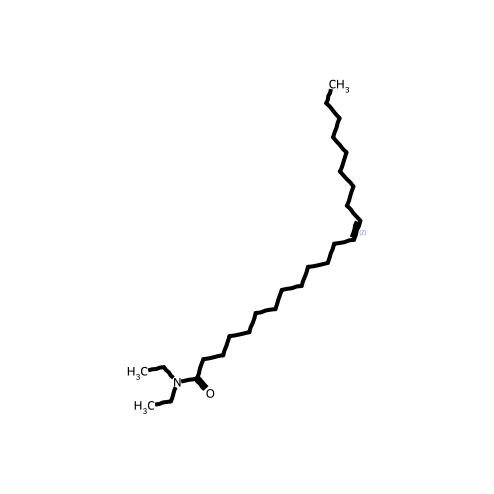 CCCCCCCC/C=C\CCCCCCCCCCCC(=O)N(CC)CC